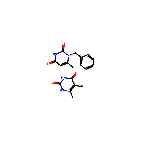 Cc1[nH]c(=O)[nH]c(=O)c1Br.Cc1cc(=O)[nH]c(=O)n1Cc1ccccc1